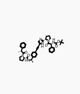 C[C@@H](NC(=O)[C@@H]1CCCN1C(=O)[C@H](C)c1ccccc1)c1ccc(C#Cc2cnc([C@@H]3CCCN3C(=O)[C@H](NC(=O)OC(C)(C)C)c3ccccc3)[nH]2)cc1